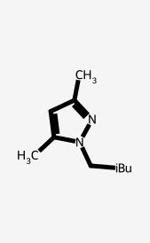 CCC(C)Cn1nc(C)cc1C